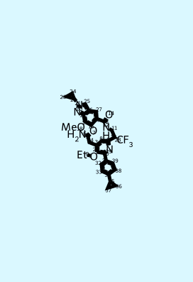 CCOc1c(CC(N)=O)cc([C@@H](CNC(=O)c2cc(OC)c3nn(C4CC4)cc3c2)C(F)(F)F)nc1-c1ccc(C2CC2)cc1